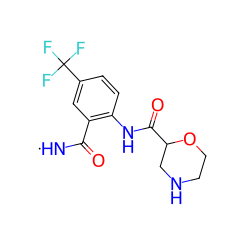 [NH]C(=O)c1cc(C(F)(F)F)ccc1NC(=O)C1CNCCO1